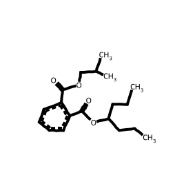 CCCC(CCC)OC(=O)c1ccccc1C(=O)OCC(C)C